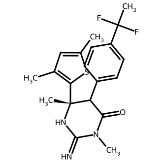 Cc1cc(C)c([C@@]2(C)NC(=N)N(C)C(=O)C2c2ccc(C(C)(F)F)cc2)s1